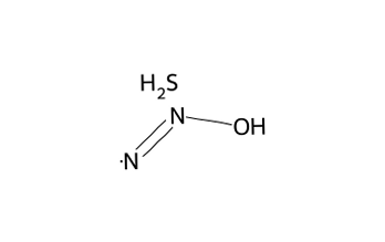 S.[N]=NO